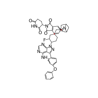 Nc1ncnc2c1c(-c1ccc(Oc3ccccc3)cc1)nn2C1CCC(CN2CC3CC(C2)N3c2ccc3c(c2)C(=O)N(C2CCC(=O)NC2=O)C3=O)CC1F